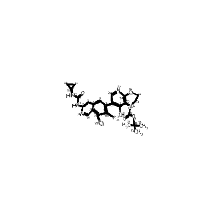 Cc1c(-c2cc3cc(NC(=O)NC4CC4)ncc3c(Cl)c2F)cnc2c1N(C(=O)OC(C)(C)C)CCO2